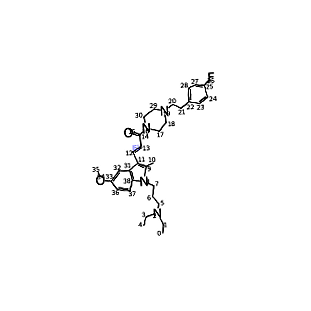 CCN(CC)CCCn1c(C)c(/C=C/C(=O)N2CCN(CCc3ccc(F)cc3)CC2)c2cc(OC)ccc21